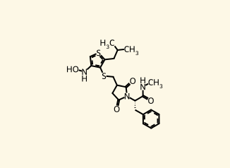 CNC(=O)[C@H](Cc1ccccc1)N1C(=O)CC(CSc2c(NO)csc2CC(C)C)C1=O